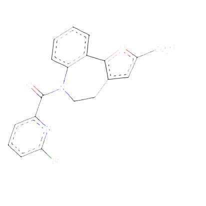 O=C(O)c1cc2c(o1)-c1ccccc1N(C(=O)c1cccc(Br)n1)CC2